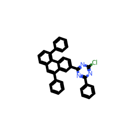 Clc1nc(-c2ccccc2)nc(-c2ccc3c(c2)c(-c2ccccc2)cc2cccc(-c4ccccc4)c23)n1